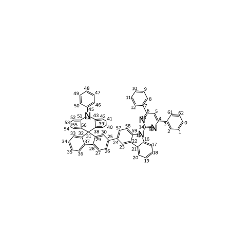 c1ccc(-c2cc(-c3ccccc3)nc(-n3c4ccccc4c4cc(-c5ccc6c(c5)C5(c7ccccc7-6)c6ccccc6N(c6ccccc6)c6ccccc65)ccc43)n2)cc1